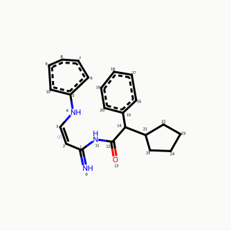 N=C(/C=C\Nc1ccccc1)NC(=O)C(c1ccccc1)C1CCCC1